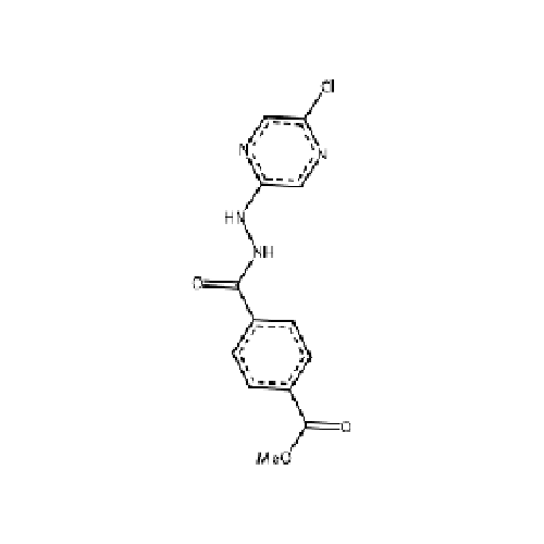 COC(=O)c1ccc(C(=O)NNc2cnc(Cl)cn2)cc1